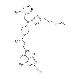 COCCOc1ccc(N(Cc2cnccc2C)C2CCN(C(C)CCNC(=O)c3c(C)cc(C#N)nc3C)CC2)cc1